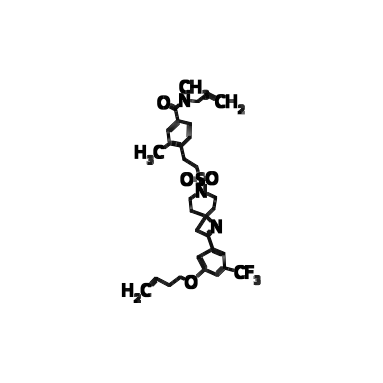 C=CCCOc1cc(C2=NC3(CCN(S(=O)(=O)CCc4ccc(C(=O)N(C)CC=C)cc4C)CC3)C2)cc(C(F)(F)F)c1